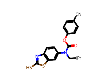 CC(C)CN(C(=O)Oc1ccc(C#N)cc1)c1ccc2nc(S)sc2c1